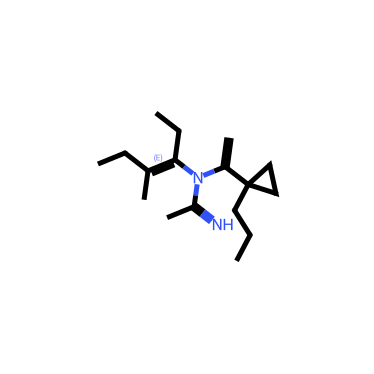 C=C(N(C(C)=N)/C(CC)=C(\C)CC)C1(CCC)CC1